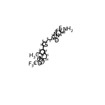 Cc1cc(-c2ccc(CCn3cnn(CC(CN)=C(F)F)c3=O)s2)cc2c1N(OC(=O)C(F)(F)F)C(=O)CC2